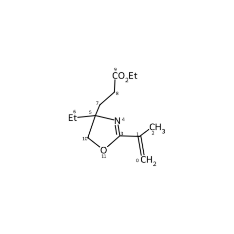 C=C(C)C1=NC(CC)(CCC(=O)OCC)CO1